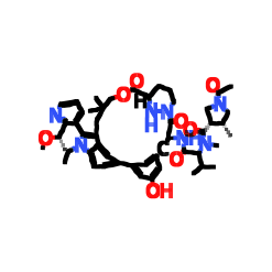 CCn1c(-c2cccnc2[C@H](C)OC)c2c3cc(ccc31)-c1cc(O)cc(c1)C[C@H](NC(=O)C(C(C)C)N(C)C(=O)[C@@H]1CN(C(C)=O)C[C@@H]1C)C(=O)N1CCC[C@H](N1)C(=O)OCC(C)(C)C2